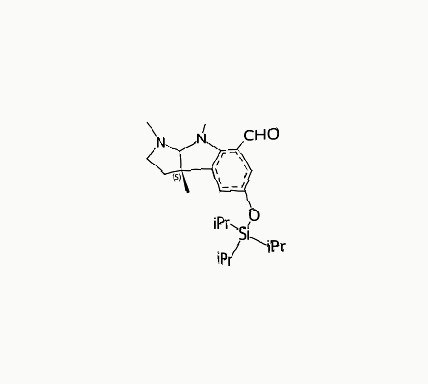 CC(C)[Si](Oc1cc(C=O)c2c(c1)[C@]1(C)CCN(C)C1N2C)(C(C)C)C(C)C